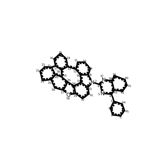 c1ccc(-c2nc(-n3c4cccc5c6cccc7c6c6c8c-7cccc8cc7oc8ccc3c(c8c76)c54)nc3ccccc23)cc1